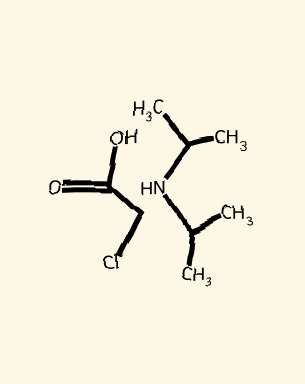 CC(C)NC(C)C.O=C(O)CCl